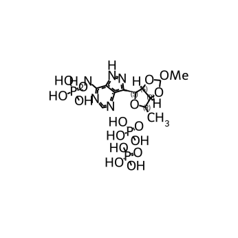 COC1O[C@@H]2[C@H](O1)[C@@H](C)O[C@H]2c1n[nH]c2c(N)ncnc12.O=P(O)(O)O.O=P(O)(O)O.O=P(O)(O)O